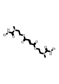 CCNC(=O)N(C)CCOC(=O)/C=C/C(=O)OCCN(C)C(=O)NCC